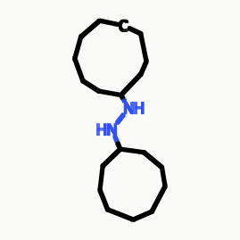 C1CCCCC(NNC2CCCCCCCC2)CCCC1